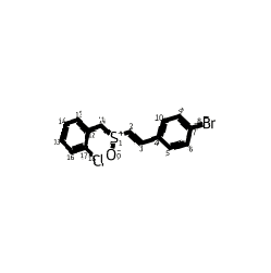 [O-][S+](C=Cc1ccc(Br)cc1)Cc1ccccc1Cl